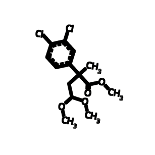 COC(=O)C(C)(CC(OC)OC)c1ccc(Cl)c(Cl)c1